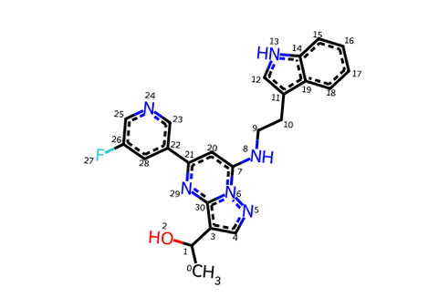 CC(O)c1cnn2c(NCCc3c[nH]c4ccccc34)cc(-c3cncc(F)c3)nc12